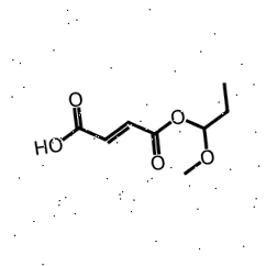 CCC(OC)OC(=O)C=CC(=O)O